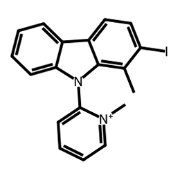 Cc1c(I)ccc2c3ccccc3n(-c3cccc[n+]3C)c12